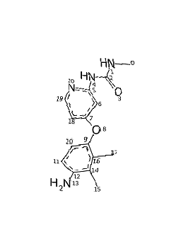 CNC(=O)Nc1cc(Oc2ccc(N)c(C)c2C)ccn1